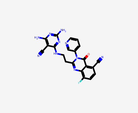 N#Cc1c(N)nc(N)nc1NCCc1nc2c(F)ccc(C#N)c2c(=O)n1-c1cccnc1